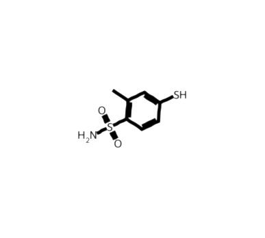 Cc1cc(S)ccc1S(N)(=O)=O